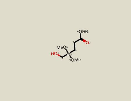 COC(=O)CC[Si](CO)(OC)OC